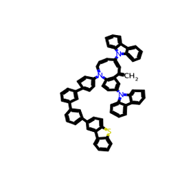 C=C1/C=C(n2c3ccccc3c3ccccc32)\C=C/CN(c2ccc(-c3cccc(-c4cccc(-c5ccc6sc7ccccc7c6c5)c4)c3)cc2)c2ccc(-n3c4ccccc4c4ccccc43)cc21